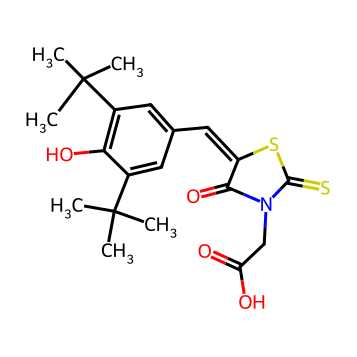 CC(C)(C)c1cc(C=C2SC(=S)N(CC(=O)O)C2=O)cc(C(C)(C)C)c1O